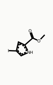 COC(=O)c1cc(I)c[nH]1